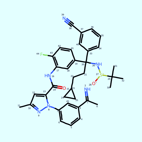 CC(=N)c1cccc(-n2nc(C)cc2C(=O)Nc2cc(C(CCC3CC3)(N[S+]([O-])C(C)(C)C)c3cccc(C#N)c3)ccc2F)c1